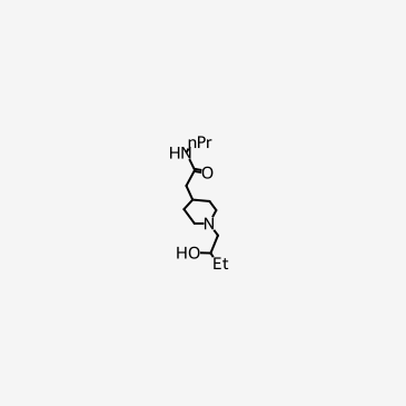 CCCNC(=O)CC1CCN(CC(O)CC)CC1